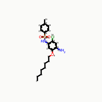 CCCCCCCCOc1cc(NS(=O)(=O)c2ccc(C)cc2)c(Cl)cc1N